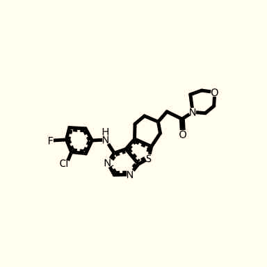 O=C(CC1CCc2c(sc3ncnc(Nc4ccc(F)c(Cl)c4)c23)C1)N1CCOCC1